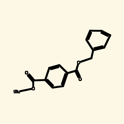 CC(C)(C)OC(=O)c1ccc(C(=O)OCc2ccccc2)cc1